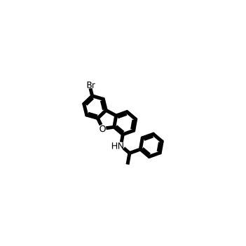 CC(Nc1cccc2c1oc1ccc(Br)cc12)c1ccccc1